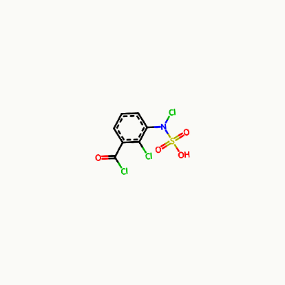 O=C(Cl)c1cccc(N(Cl)S(=O)(=O)O)c1Cl